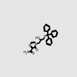 NC(=O)c1nccn(CC(O)COC(c2ccccc2)(c2ccccc2)c2ccccc2)c1=O